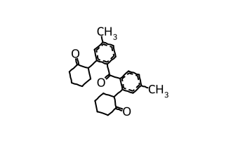 Cc1ccc(C(=O)c2ccc(C)cc2C2CCCCC2=O)c(C2CCCCC2=O)c1